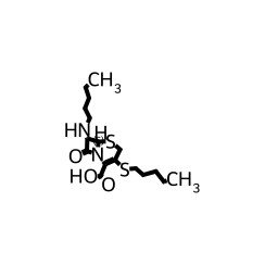 CCCCCNC1C(=O)N2C(C(=O)O)=C(SCCCCC)CS[C@@H]12